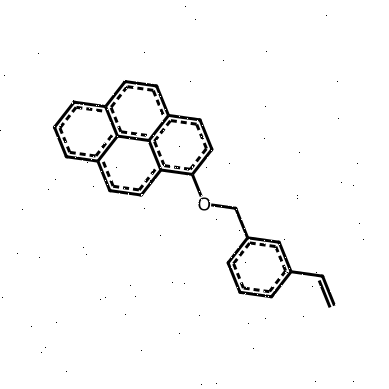 C=Cc1cccc(COc2ccc3ccc4cccc5ccc2c3c45)c1